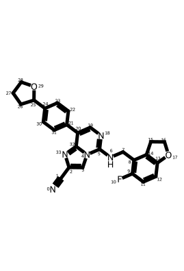 N#Cc1cn2c(NCc3c(F)ccc4c3CCO4)ncc(-c3ccc(C4CCCO4)cc3)c2n1